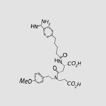 COc1ccc(CCN(CCC(=O)O)C(=O)C[C@H](NC(=O)CCCCc2ccc(C(=N)N)cc2)C(=O)O)cc1